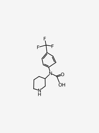 O=C(O)N(c1ccc(C(F)(F)F)cc1)C1CCCNC1